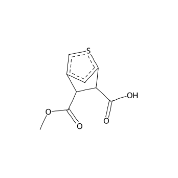 COC(=O)C1c2csc(c2)C1C(=O)O